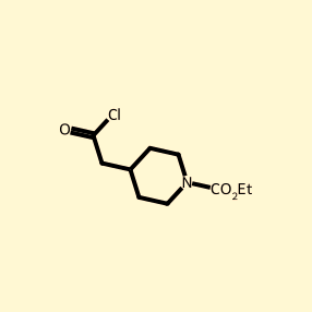 CCOC(=O)N1CCC(CC(=O)Cl)CC1